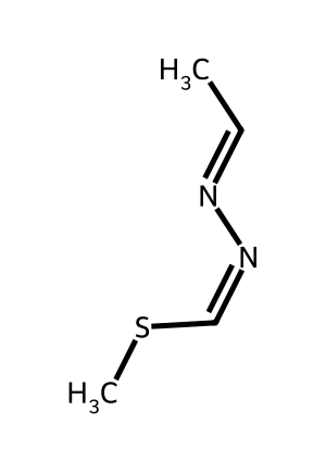 C/C=N/N=C\SC